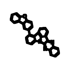 c1ccc2nc3c(nc2c1)c1cccc2c4c(-c5ccc6oc7ccccc7c6c5)cccc4n3c12